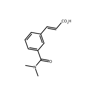 CN(C)C(=O)c1cccc(C=CC(=O)O)c1